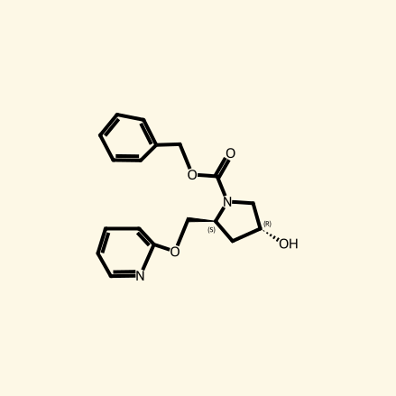 O=C(OCc1ccccc1)N1C[C@H](O)C[C@H]1COc1ccccn1